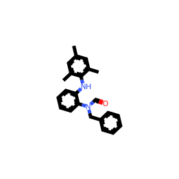 Cc1cc(C)c(Nc2ccccc2N(C=O)Cc2ccccc2)c(C)c1